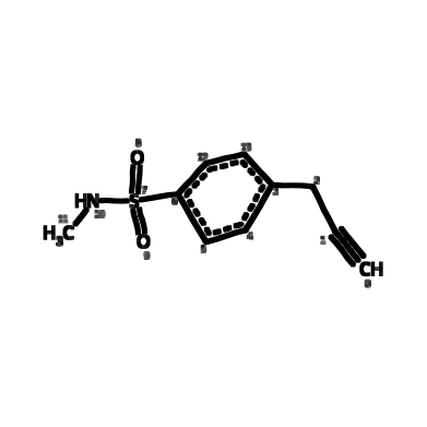 C#CCc1ccc(S(=O)(=O)NC)cc1